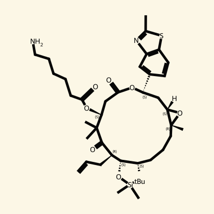 C=CC[C@H]1C(=O)C(C)(C)[C@@H](OC(=O)CCCCCN)CC(=O)O[C@H](c2ccc3sc(C)nc3c2)C[C@@H]2O[C@]2(C)CCC[C@H](C)[C@@H]1O[Si](C)(C)C(C)(C)C